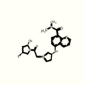 CN(C)C(=O)c1ccc(N[C@H]2CCN(CC(=O)N3C[C@@H](F)C[C@H]3C#N)C2)c2cccnc12